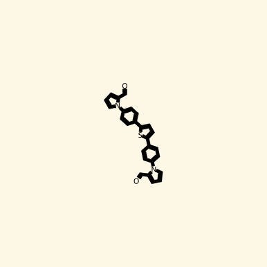 O=Cc1cccn1-c1ccc(-c2ccc(-c3ccc(-n4cccc4C=O)cc3)s2)cc1